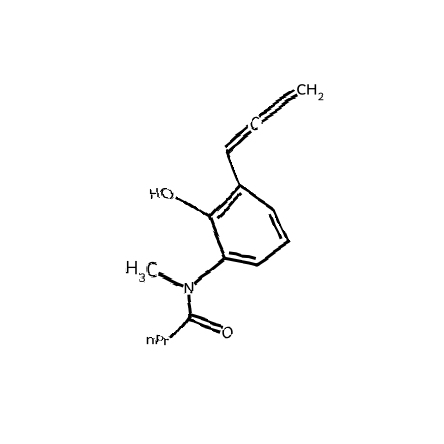 C=C=Cc1cccc(N(C)C(=O)CCC)c1O